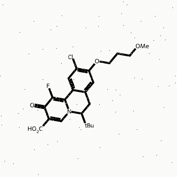 COCCCOc1cc2c(cc1Cl)-c1c(F)c(=O)c(C(=O)O)cn1C(C(C)(C)C)C2